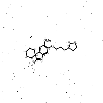 COc1cc2c(cc1OCCCN1CCCC1)N=C(N)C21CCCCC1